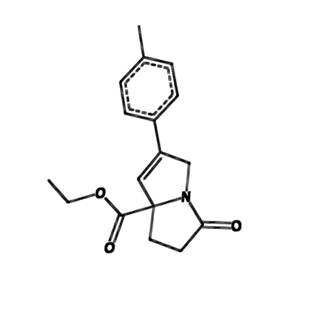 CCOC(=O)C12C=C(c3ccc(C)cc3)CN1C(=O)CC2